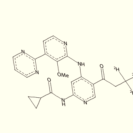 [2H]C([2H])([2H])CC(=O)c1cnc(NC(=O)C2CC2)cc1Nc1nccc(-c2ncccn2)c1OC